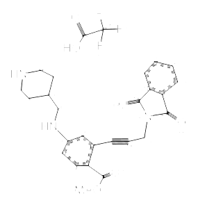 COC(=O)c1ccc(NCC2CCNCC2)cc1C#CCN1C(=O)c2ccccc2C1=O.O=C(O)C(F)(F)F